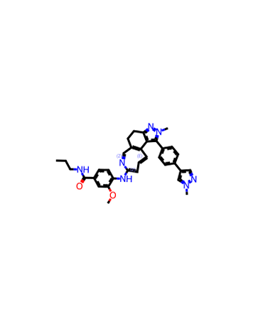 CCCNC(=O)c1ccc(NC2=C/C=C/C3=C(/C=N\2)CCc2nn(C)c(-c4ccc(-c5cnn(C)c5)cc4)c23)c(OC)c1